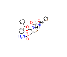 CO[C@@]1(NC(=O)Cc2cccs2)C(=O)N2C(C(=O)OC(c3ccccc3)c3ccccc3)C(COC(N)=O)=CS[C@H]21